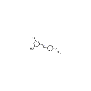 Oc1cc(Cl)cc(/C=C/c2ccc(OC(F)(F)F)cc2)c1